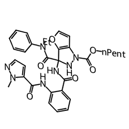 CCCCCOC(=O)N1NC(NC(=O)c2ccccc2NC(=O)c2ccnn2C)(C(=O)N(CC)c2ccccc2)c2occc21